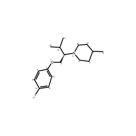 CC1CCN([C@@H](COc2ccc(I)cc2)C(C)C)CC1